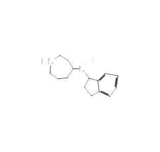 ON(C1CCCNCC1)C1CCc2ccccc21